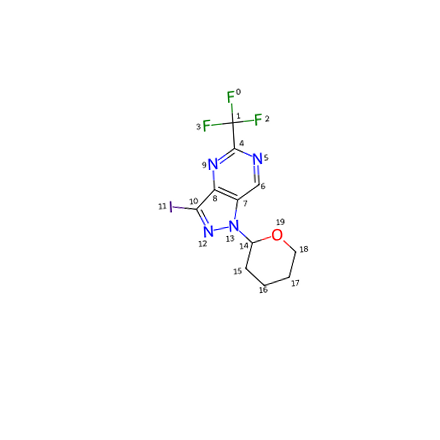 FC(F)(F)c1ncc2c(n1)c(I)nn2C1CCCCO1